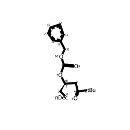 CCCCCCCCCCC[C@H](CC(=O)C(C)(C)C)OC(=O)OCc1ccccc1